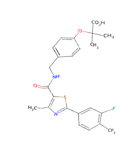 Cc1nc(-c2ccc(C(F)(F)F)c(F)c2)sc1C(=O)NCc1ccc(OC(C)(C)C(=O)O)cc1